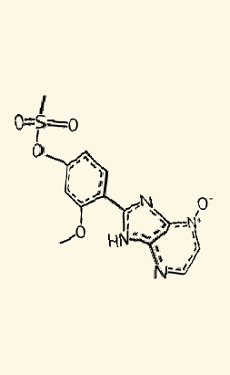 COc1cc(OS(C)(=O)=O)ccc1-c1nc2c(ncc[n+]2[O-])[nH]1